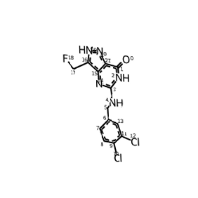 O=c1[nH]c(NCc2ccc(Cl)c(Cl)c2)nc2c(CF)[nH]nc12